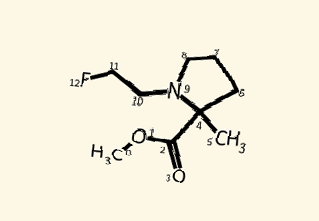 COC(=O)C1(C)CCCN1CCF